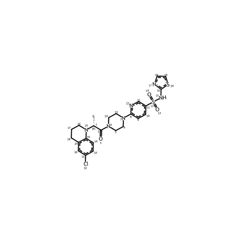 C[C@H](C(=O)N1CCN(c2ccc(S(=O)(=O)Nc3nccs3)cn2)CC1)N1CCCc2cc(Cl)ccc21